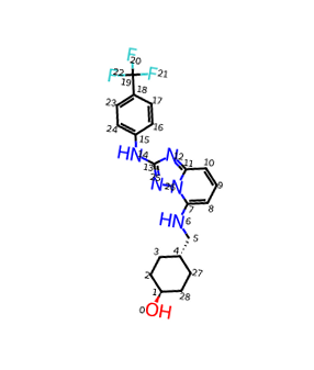 O[C@H]1CC[C@H](CNc2cccc3nc(Nc4ccc(C(F)(F)F)cc4)nn23)CC1